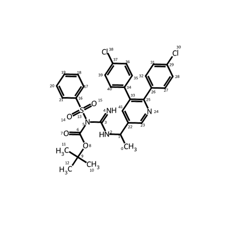 CC(NC(=N)N(C(=O)OC(C)(C)C)S(=O)(=O)c1ccccc1)c1cnc(-c2ccc(Cl)cc2)c(-c2ccc(Cl)cc2)c1